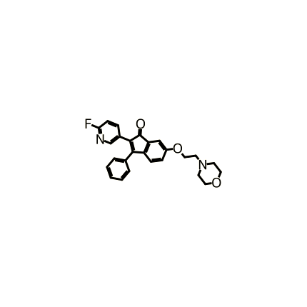 O=C1C(c2ccc(F)nc2)=C(c2ccccc2)c2ccc(OCCN3CCOCC3)cc21